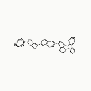 c1cc2c3c(ccc(-c4ccc5cc(-c6ccc7cc(-c8ncncn8)ccc7c6)ccc5c4)c3c1)-c1c-2c2ccccc2c2ccccc12